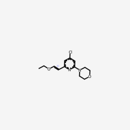 CCO/C=C/c1cc(Cl)cc(N2CCOCC2)n1